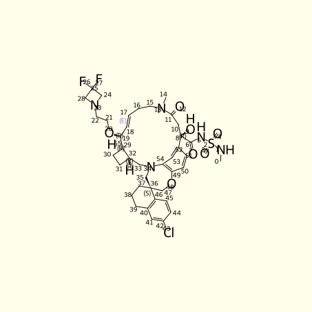 CNS(=O)(=O)NC(=O)[C@@]1(O)CC(=O)N(C)CC/C=C/[C@H](OCCN2CC(F)(F)C2)[C@@H]2CC[C@H]2CN2C[C@@]3(CCCc4cc(Cl)ccc43)COc3ccc1cc32